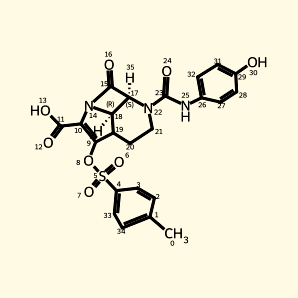 Cc1ccc(S(=O)(=O)OC2=C(C(=O)O)N3C(=O)[C@@H]4[C@H]3C2CCN4C(=O)Nc2ccc(O)cc2)cc1